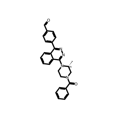 C[C@@H]1CN(C(=O)c2ccccc2)CCN1c1nnc(-c2ccc(C=O)cc2)c2ccccc12